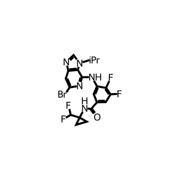 CC(C)n1cnc2cc(Br)nc(Nc3cc(C(=O)NC4(C(F)F)CC4)cc(F)c3F)c21